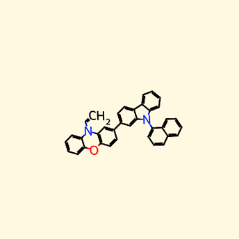 C=CN1c2ccccc2Oc2ccc(-c3ccc4c5ccccc5n(-c5cccc6ccccc56)c4c3)cc21